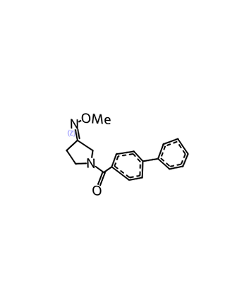 CO/N=C1/CCN(C(=O)c2ccc(-c3ccccc3)cc2)C1